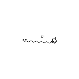 CCCCCCCCCC[n+]1ccsc1.[Cl-]